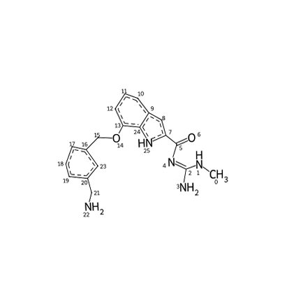 CNC(N)=NC(=O)c1cc2cccc(OCc3cccc(CN)c3)c2[nH]1